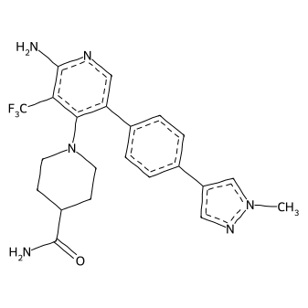 Cn1cc(-c2ccc(-c3cnc(N)c(C(F)(F)F)c3N3CCC(C(N)=O)CC3)cc2)cn1